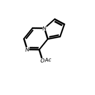 CC(=O)Oc1nccn2cccc12